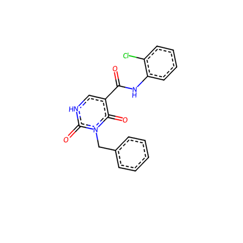 O=C(Nc1ccccc1Cl)c1c[nH]c(=O)n(Cc2ccccc2)c1=O